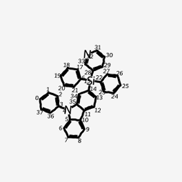 c1ccc(-n2c3ccccc3c3ccc([Si](c4ccccc4)(c4ccccc4)c4cccnc4)cc32)cc1